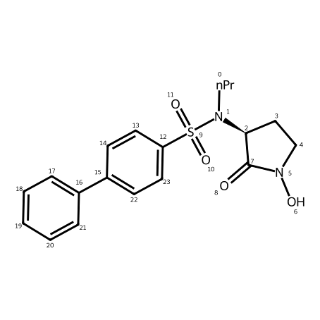 CCCN([C@H]1CCN(O)C1=O)S(=O)(=O)c1ccc(-c2ccccc2)cc1